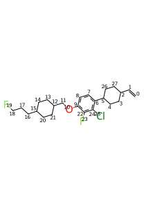 C=CC1CCC(c2ccc(OCC3CCC(CCCF)CC3)c(F)c2Cl)CC1